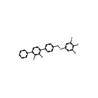 Fc1cc(OCc2ccc(-c3ccc(-c4ccccc4)c(F)c3F)cc2)cc(F)c1F